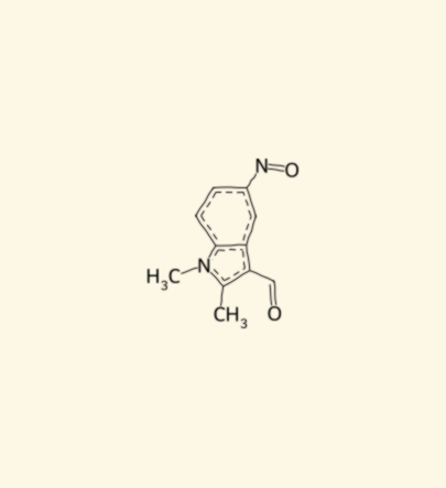 Cc1c(C=O)c2cc(N=O)ccc2n1C